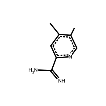 Cc1cnc(C(=N)N)cc1C